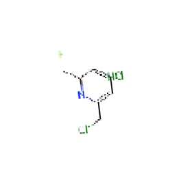 Cl.FCc1cccc(CCl)n1